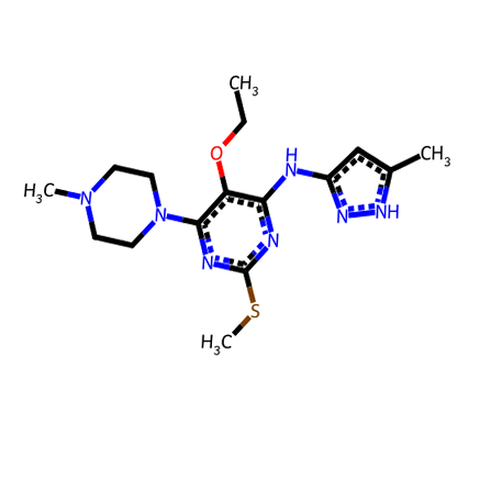 CCOc1c(Nc2cc(C)[nH]n2)nc(SC)nc1N1CCN(C)CC1